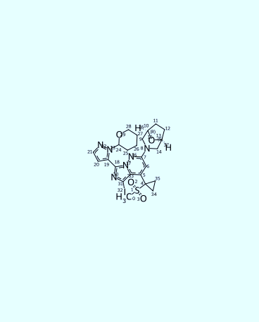 CS(=O)(=O)C1(c2cc(N3C[C@H]4CC[C@@H](C3)O4)nn3c(-c4ccnn4C4CCCCO4)nc(I)c23)CC1